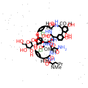 CN[C@H](CC(C)C)C(=O)N[C@H]1C(=O)N[C@@H](CC(N)=O)C(=O)N[C@H]2C(=O)N[C@H]3C(=O)N[C@H](C(=O)N[C@H](C(=O)O)c4cc(O)cc(O)c4-c4cc3ccc4O)[C@H](O)c3ccc(c(Cl)c3)Oc3cc2cc(c3O[C@@H]2O[C@H](CO)[C@@H](O)[C@H](O)[C@H]2O[C@H]2C[C@](C)(NC(=O)OC)[C@H](O)[C@H](C)O2)Oc2ccc(cc2Cl)[C@H]1O